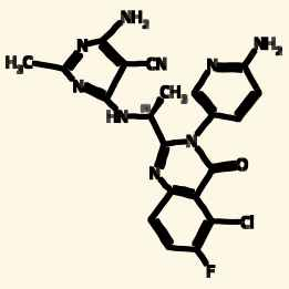 Cc1nc(N)c(C#N)c(N[C@@H](C)c2nc3ccc(F)c(Cl)c3c(=O)n2-c2ccc(N)nc2)n1